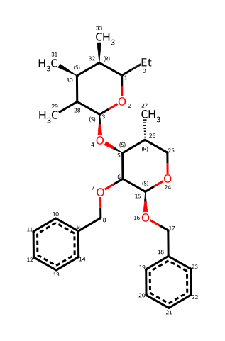 CCC1O[C@@H](O[C@@H]2C(OCc3ccccc3)[C@H](OCc3ccccc3)OC[C@H]2C)C(C)[C@@H](C)[C@H]1C